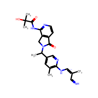 Cc1cc(C(C)N2Cc3c(ccnc3NC(=O)C(C)(C)O)C2=O)cnc1N/C=C(\C=N)C(F)(F)F